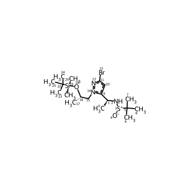 C[C@H](N[S+]([O-])C(C)(C)C)c1cc(Br)nn1C[C@H](C)O[Si](C)(C)C(C)(C)C